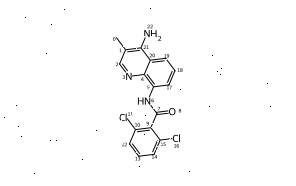 Cc1cnc2c(NC(=O)c3c(Cl)cccc3Cl)cccc2c1N